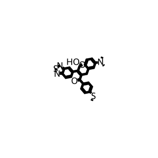 CSc1ccc(C(=O)/C(Cc2cccc(N(C)C)c2)=C(/C(=O)O)c2ccc3nsnc3c2)cc1